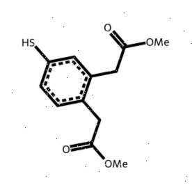 COC(=O)Cc1ccc(S)cc1CC(=O)OC